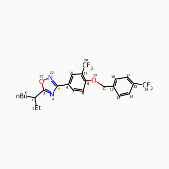 CCCCC(CC)c1nc(-c2ccc(OCc3ccc(C(F)(F)F)cc3)c(C(F)(F)F)c2)no1